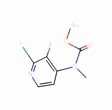 CN(C(=O)OC(C)(C)C)c1ccnc(F)c1F